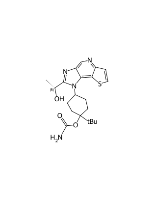 C[C@@H](O)c1nc2cnc3ccsc3c2n1C1CCC(OC(N)=O)(C(C)(C)C)CC1